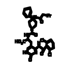 CC(C)CC(=O)NC1(c2ccccc2)CCN(C(=O)NC(Cc2c[nH]c(=O)nc2NC(=O)c2c(Cl)cccc2Cl)C(=O)O)CC1